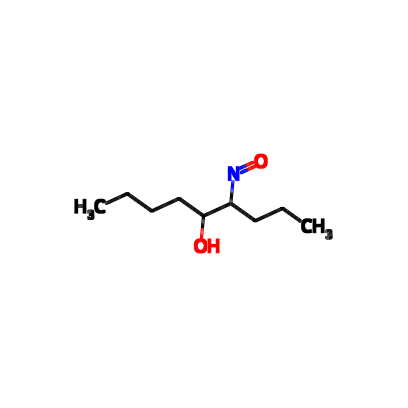 CCCCC(O)C(CCC)N=O